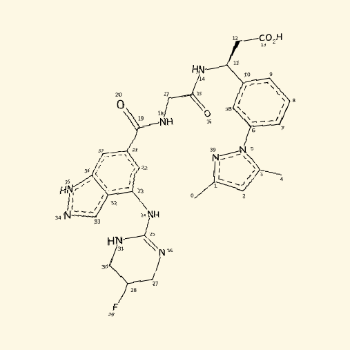 Cc1cc(C)n(-c2cccc([C@H](CC(=O)O)NC(=O)CNC(=O)c3cc(NC4=NCC(F)CN4)c4cn[nH]c4c3)c2)n1